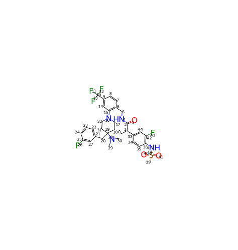 CC(C(=O)NCc1ccc(C(F)(F)F)cc1N1CCC(Cc2cccc(F)c2)(N(C)C)CC1)c1ccc(NS(C)(=O)=O)c(F)c1